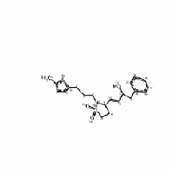 Cc1ccc(CCCN2[C@@H](/C=C/C(O)Cc3ccccc3)CCS2(=O)=O)s1